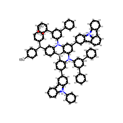 CC(C)(C)c1ccc(C(c2ccc(C(C)(C)C)cc2)c2ccc3c(c2)N(c2cc(-c4ccccc4)cc(-c4ccccc4)c2)c2cc(-c4ccc5c(c4)c4cccc6c7ccccc7n5c64)cc4c2B3c2ccc(-c3ccc5c(c3)c3ccccc3n5-c3ccccc3)cc2N4c2cc(-c3ccccc3)cc(-c3ccccc3)c2)cc1